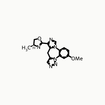 COc1ccc2c(c1)-n1nncc1Cc1c(C3=N[C@@H](C)CO3)ncn1-2